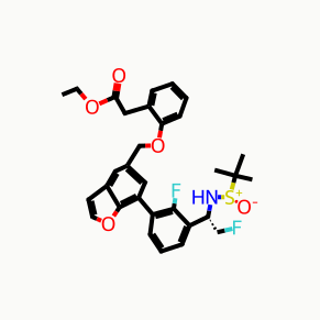 CCOC(=O)Cc1ccccc1OCc1cc(-c2cccc([C@@H](CF)N[S@@+]([O-])C(C)(C)C)c2F)c2occc2c1